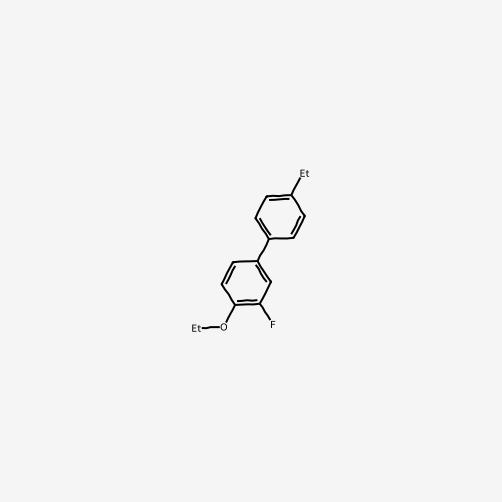 CCOc1ccc(-c2ccc(CC)cc2)cc1F